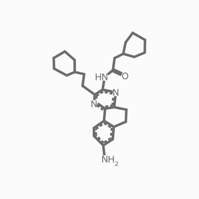 Nc1ccc2c(c1)CCc1nc(NC(=O)CC3CCCCC3)c(CCC3CCCCC3)nc1-2